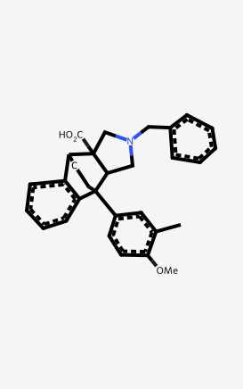 COc1ccc(C23CCC(c4ccccc42)C2(C(=O)O)CN(Cc4ccccc4)CC32)cc1C